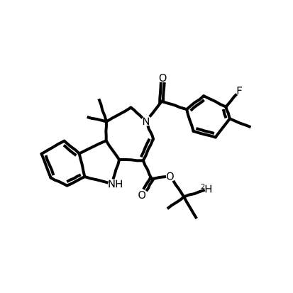 [2H]C(C)(C)OC(=O)C1=CN(C(=O)c2ccc(C)c(F)c2)CC(C)(C)C2c3ccccc3NC12